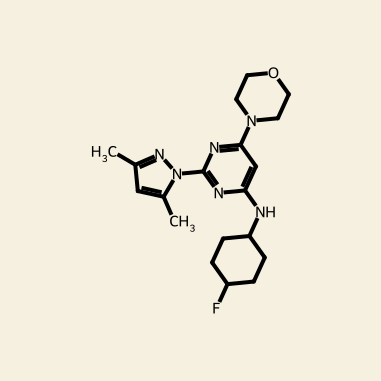 Cc1cc(C)n(-c2nc(NC3CCC(F)CC3)cc(N3CCOCC3)n2)n1